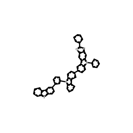 c1ccc(-c2nc3cc4c(cc3o2)c2cc(-c3ccc5c(c3)c3ccccc3n5-c3cccc(-c5ccc6sc7ccccc7c6c5)c3)ccc2n4-c2ccccc2)cc1